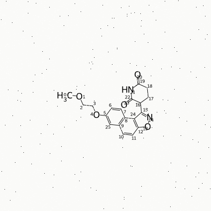 COCCOc1ccc2c(ccc3onc(C4CCC(=O)NC4=O)c32)c1